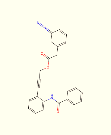 [N-]=[N+]=C1C=CC=C(CC(=O)OCC#Cc2ccccc2NC(=O)c2ccccc2)C1